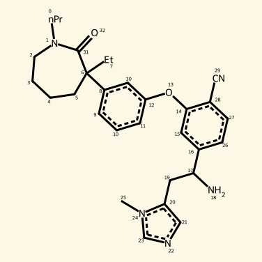 CCCN1CCCCC(CC)(c2cccc(Oc3cc(C(N)Cc4cncn4C)ccc3C#N)c2)C1=O